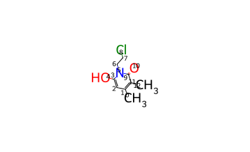 Cc1cc(O)n(CCCl)c(=O)c1C